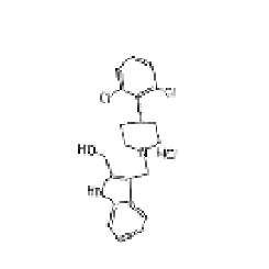 Cl.OCc1[nH]c2ccccc2c1CN1CCC(c2c(Cl)cccc2Cl)CC1